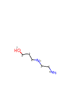 [NH]CC[N]CCCO